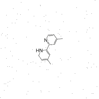 CC1=CCNC(c2cc(C)ccn2)=C1